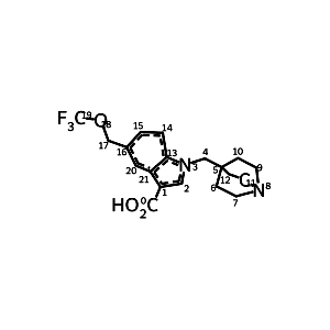 O=C(O)c1cn(CC23CCN(CC2)CC3)c2ccc(COC(F)(F)F)cc12